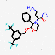 NCCC(C(N)=O)N1CCOC(OCc2cc(C(F)(F)F)cc(C(F)(F)F)c2)C1c1ccccc1